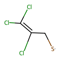 [S]CC(Cl)=C(Cl)Cl